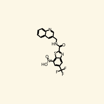 O=C(NCc1cnc2ccccc2c1)c1nc2cc(C(F)(F)F)cc([N+](=O)O)c2s1